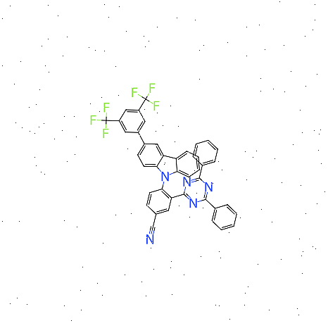 N#Cc1ccc(-n2c3ccccc3c3cc(-c4cc(C(F)(F)F)cc(C(F)(F)F)c4)ccc32)c(-c2nc(-c3ccccc3)nc(-c3ccccc3)n2)c1